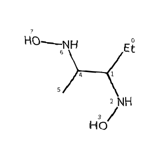 CCC(NO)C(C)NO